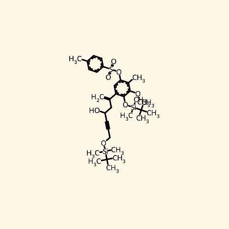 C=C(CC(O)C#CCO[Si](C)(C)C(C)(C)C)c1cc(OS(=O)(=O)c2ccc(C)cc2)c(C)c(OC)c1O[Si](C)(C)C(C)(C)C